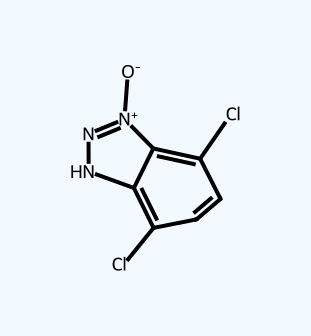 [O-][n+]1n[nH]c2c(Cl)ccc(Cl)c21